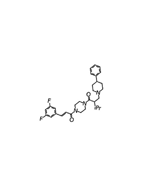 CC(C)C(CN1CCC(c2ccccc2)CC1)C(=O)N1CCN(C(=O)/C=C/c2cc(F)cc(F)c2)CC1